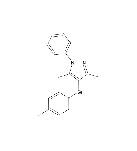 Cc1nn(-c2ccccc2)c(C)c1[Se]c1ccc(F)cc1